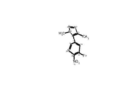 Cc1nnn(C)c1-c1cnc([N+](=O)[O-])c(F)c1